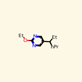 CCCC(CC)c1cnc(OCC)nc1